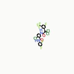 O=C(Nc1ccc(F)cc1F)c1cc(NC(=O)C2C(c3cc(F)cc(C(F)(F)F)c3)C2(Cl)Cl)ccc1Cl